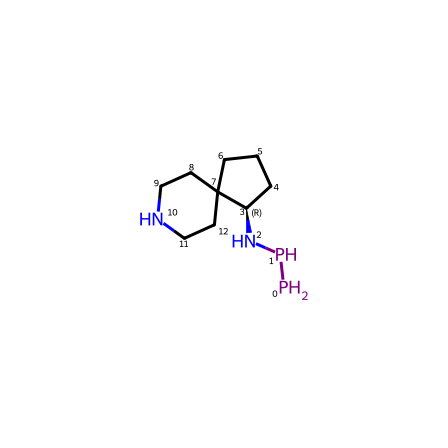 PPN[C@@H]1CCCC12CCNCC2